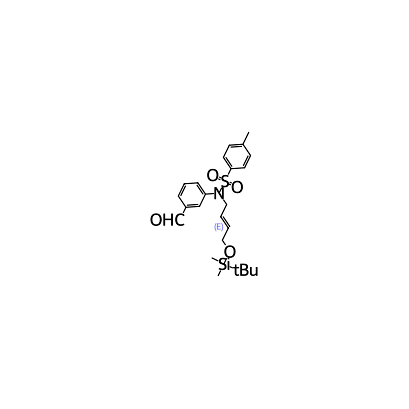 Cc1ccc(S(=O)(=O)N(C/C=C/CO[Si](C)(C)C(C)(C)C)c2cccc(C=O)c2)cc1